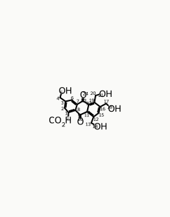 O=C(O)c1cc(CO)cc2c1C(=O)c1c(CO)cc(CO)c(CO)c1C2=O